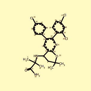 CC1(C)CC(NC(C)(C)C(N)=O)c2cc(-c3ccc(Cl)cc3)c(-c3ccc(Cl)cc3Cl)nc2O1